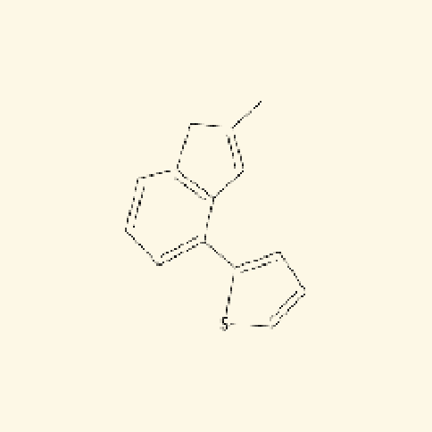 CC1=Cc2c(cccc2-c2cccs2)C1